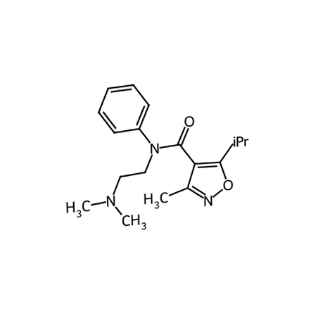 Cc1noc(C(C)C)c1C(=O)N(CCN(C)C)c1ccccc1